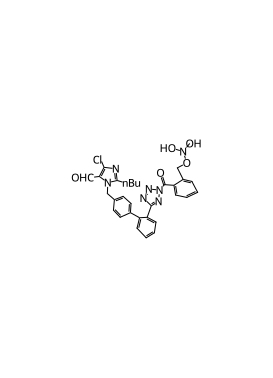 CCCCc1nc(Cl)c(C=O)n1Cc1ccc(-c2ccccc2-c2nnn(C(=O)c3ccccc3CON(O)O)n2)cc1